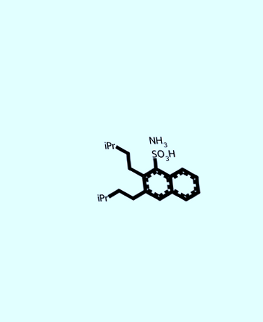 CC(C)CCc1cc2ccccc2c(S(=O)(=O)O)c1CCC(C)C.N